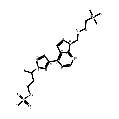 CC(CCOS(C)(=O)=O)n1cc(-c2ccnc3c2ccn3COCC[Si](C)(C)C)cn1